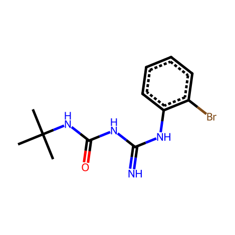 CC(C)(C)NC(=O)NC(=N)Nc1ccccc1Br